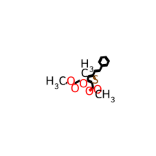 CCOC(=O)COc1c(C(=O)OC)sc(/C=C/c2ccccc2)c1C